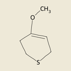 COC1=CCSCC1